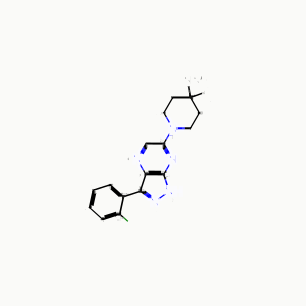 CNC1(C)CCN(c2cnc3c(-c4ccccc4Cl)n[nH]c3n2)CC1